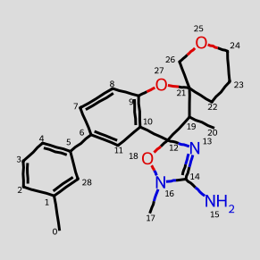 Cc1cccc(-c2ccc3c(c2)C2(N=C(N)N(C)O2)C(C)C2(CCCOC2)O3)c1